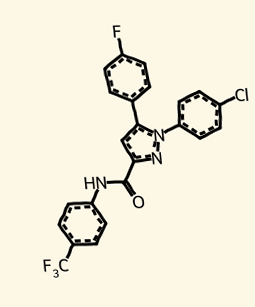 O=C(Nc1ccc(C(F)(F)F)cc1)c1cc(-c2ccc(F)cc2)n(-c2ccc(Cl)cc2)n1